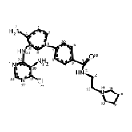 Nc1ccc(-c2ccc(C(=O)NCCN3CCCC3)cc2)cc1Nc1ncnc(Cl)c1N